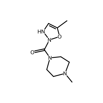 CC1=CNN(C(=O)N2CCN(C)CC2)O1